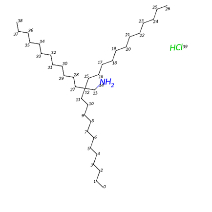 CCCCCCCCCCCCC(CN)(CCCCCCCCCCCC)CCCCCCCCCCCC.Cl